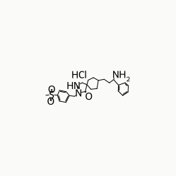 CS(=O)(=O)c1ccc(CN2NCC3(CCC(CCC(N)c4ccccc4)CC3)C2=O)cc1.Cl